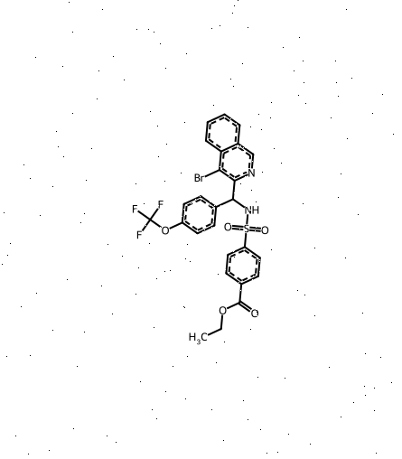 CCOC(=O)c1ccc(S(=O)(=O)NC(c2ccc(OC(F)(F)F)cc2)c2ncc3ccccc3c2Br)cc1